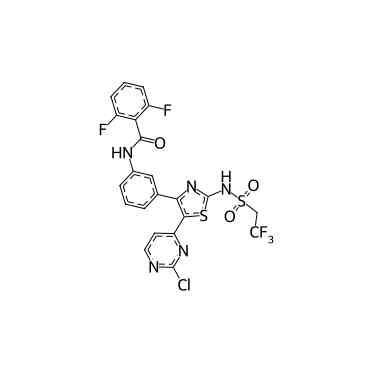 O=C(Nc1cccc(-c2nc(NS(=O)(=O)CC(F)(F)F)sc2-c2ccnc(Cl)n2)c1)c1c(F)cccc1F